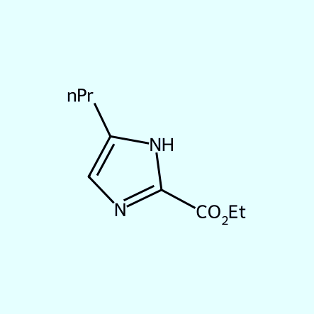 CCCc1cnc(C(=O)OCC)[nH]1